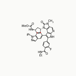 CCNC(=O)c1ccc(-c2[nH]c3ncc4c(c3c2-c2ccc3c(cnn3C(C)C)c2)n([C@@H]2CC[C@@H](NC(=O)OC)C2)c(=O)n4C)cc1F